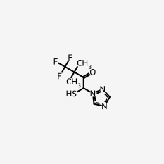 CC(C)(C(=O)C(S)n1cncn1)C(F)(F)F